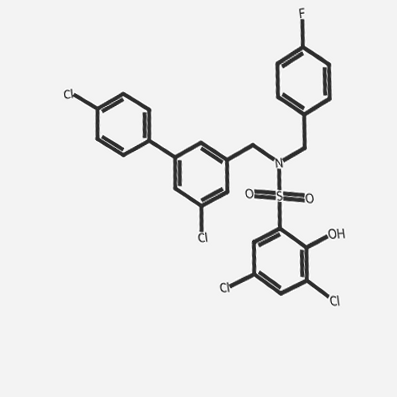 O=S(=O)(c1cc(Cl)cc(Cl)c1O)N(Cc1ccc(F)cc1)Cc1cc(Cl)cc(-c2ccc(Cl)cc2)c1